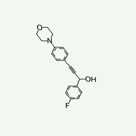 OC(C#Cc1ccc(N2CCOCC2)cc1)c1ccc(F)cc1